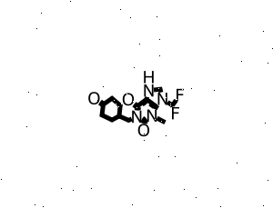 Cn1c2c(c(=O)n(CC3CCC(=O)CC3)c1=O)NCN2C(F)F